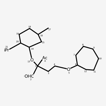 CC(=O)C([C]=O)(CCOC1CCCCCC1)OC1CC(C)CCC1C(C)C